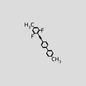 Cc1ccc(-c2ccc(C#Cc3c(F)cc(C)cc3F)cc2)cc1